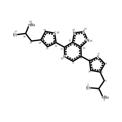 CCCCC(CC)Cc1csc(-c2cnc(-c3cc(CC(CC)CCCC)cs3)c3nsnc23)c1